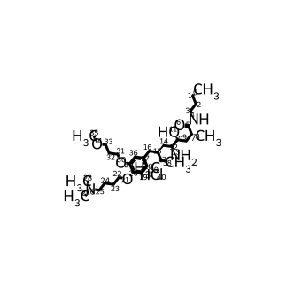 CCCCNC(=O)[C@H](C)C[C@H](O)[C@@H](N)C[C@H](Cc1ccc(OCCCCN(C)C)c(OCCCOC)c1)C(C)C.Cl